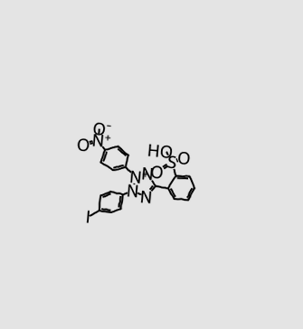 O=[N+]([O-])c1ccc(-[n+]2nc(-c3ccccc3S(=O)(=O)O)nn2-c2ccc(I)cc2)cc1